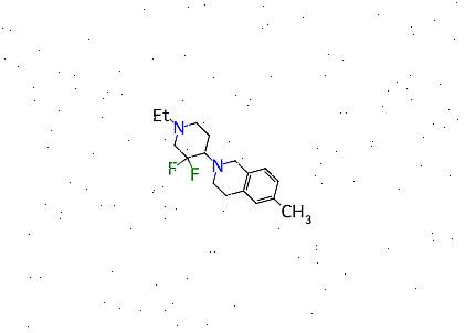 CCN1CCC(N2CCc3cc(C)ccc3C2)C(F)(F)C1